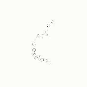 Cc1ncsc1-c1ccc(CNC(=O)C2CC(O)CN2C(=O)[C@H](c2cc(OCCN3CCN(c4ccc(-c5cnc6[nH]cc(C(=O)c7c(F)ccc(NS(=O)(=O)N8CC[C@@H](F)C8)c7F)c6c5)cc4)CC3)no2)C(C)C)cc1